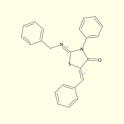 O=C1/C(=C/c2ccccc2)S/C(=N\Cc2ccccc2)N1c1ccccc1